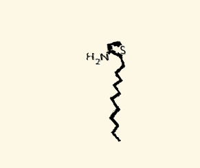 CCCCCCCCCCCc1sccc1N